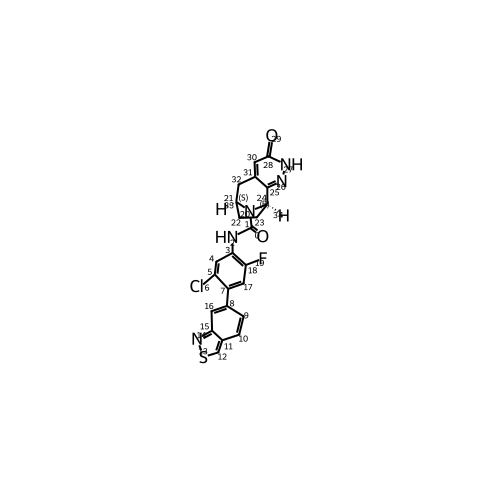 O=C(Nc1cc(Cl)c(-c2ccc3csnc3c2)cc1F)N1[C@H]2CC[C@@H]1c1n[nH]c(=O)cc1C2